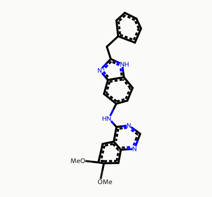 COc1cc2ncnc(Nc3ccc4[nH]c(Cc5ccccc5)nc4c3)c2cc1OC